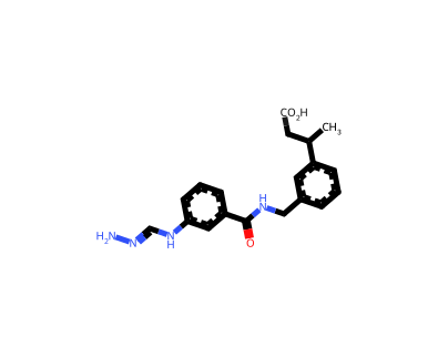 CC(CC(=O)O)c1cccc(CNC(=O)c2cccc(NC=NN)c2)c1